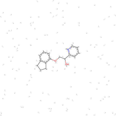 OC(COc1cccc2c1CCC2)c1ccccn1